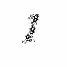 CN(C)c1cccn(-c2ccc3cnc(CNC(=O)c4ccc5c(c4)[C@](C)(C#N)COC5)cc3n2)c1=O